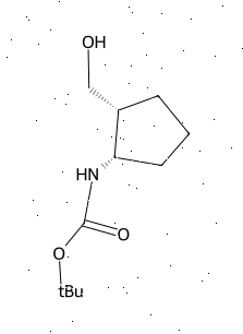 CC(C)(C)OC(=O)N[C@H]1CCC[C@H]1CO